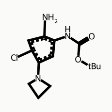 CC(C)(C)OC(=O)Nc1cc(N2CCC2)c(Cl)cc1N